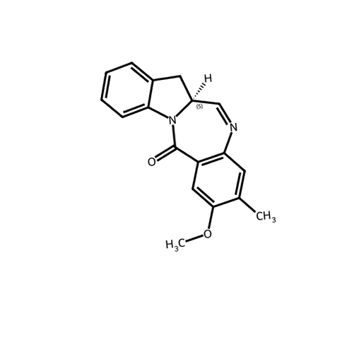 COc1cc2c(cc1C)N=C[C@@H]1Cc3ccccc3N1C2=O